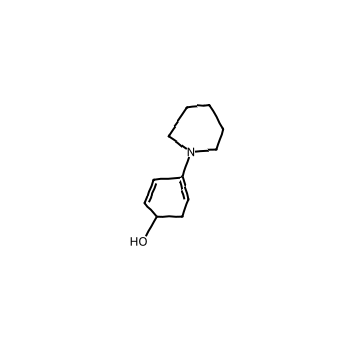 OC1C=CC(N2CCCCC2)=CC1